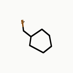 [S]CC1CCCCC1